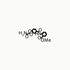 COC(=O)c1ccccc1NC(=O)c1ccc2c(c1)OC(C(N)=O)O2